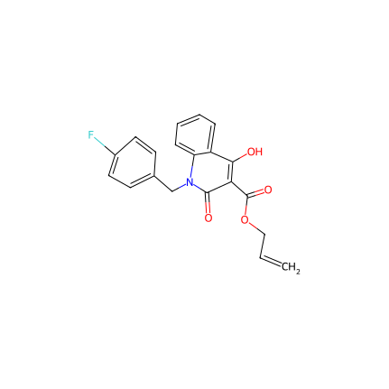 C=CCOC(=O)c1c(O)c2ccccc2n(Cc2ccc(F)cc2)c1=O